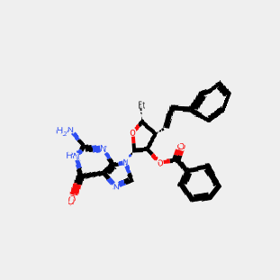 CC[C@H]1O[C@@H](n2cnc3c(=O)[nH]c(N)nc32)C(OC(=O)c2ccccc2)[C@H]1CCc1ccccc1